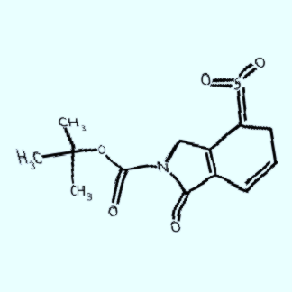 CC(C)(C)OC(=O)N1CC2=C(C=CCC2=S(=O)=O)C1=O